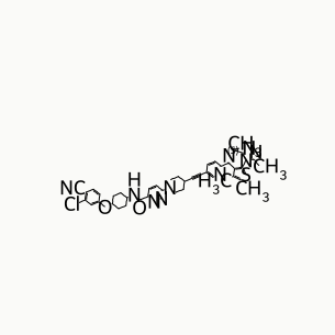 Cc1sc2c(c1C)C(c1ccc(C#CC3CCN(c4ccc(C(=O)N[C@H]5CC[C@H](Oc6ccc(C#N)c(Cl)c6)CC5)nn4)CC3)cn1)=N[C@@H](C)c1nnc(C)n1-2